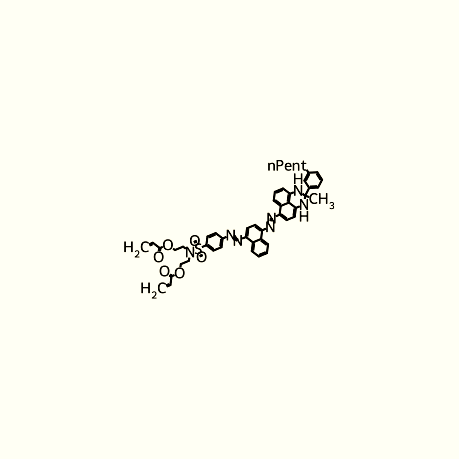 C=CC(=O)OCCN(CCOC(=O)C=C)S(=O)(=O)c1ccc(/N=N/c2ccc(/N=N/c3ccc4c5c(cccc35)NC(C)(c3cccc(CCCCC)c3)N4)c3ccccc23)cc1